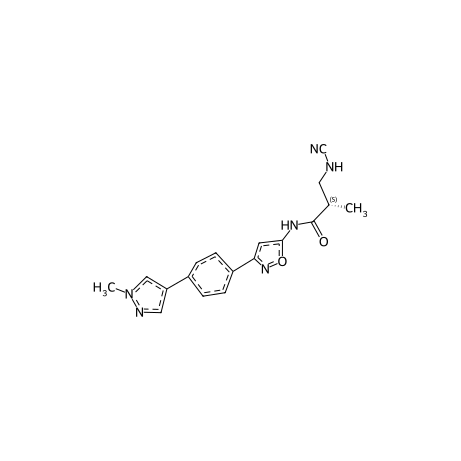 C[C@@H](CNC#N)C(=O)Nc1cc(-c2ccc(-c3cnn(C)c3)cc2)no1